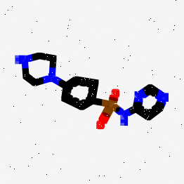 O=S(=O)(Nc1ccncn1)c1ccc(N2CCNCC2)cc1